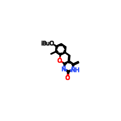 C=c1[nH]c(=O)nc2c1=Cc1ccc(OCC(C)C)c(C)c1O2